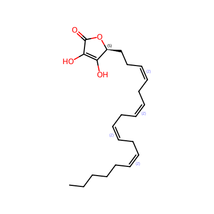 CCCCC/C=C\C/C=C\C/C=C\C/C=C\CC[C@@H]1OC(=O)C(O)=C1O